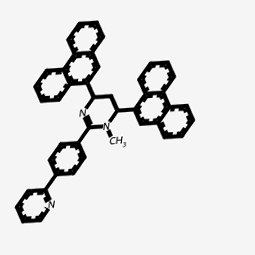 CN1C(c2ccc(-c3ccccn3)cc2)=NC(c2cc3ccccc3c3ccccc23)CC1c1cc2ccccc2c2ccccc12